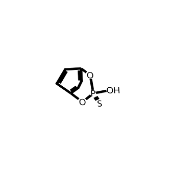 OP1(=S)Oc2ccc(cc2)O1